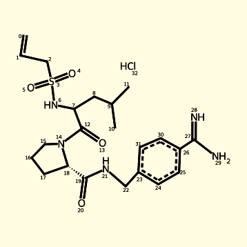 C=CCS(=O)(=O)NC(CC(C)C)C(=O)N1CCC[C@H]1C(=O)NCc1ccc(C(=N)N)cc1.Cl